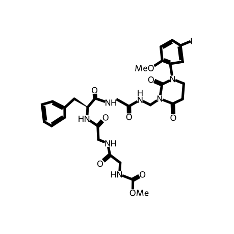 COC(=O)NCC(=O)NCC(=O)N[C@@H](Cc1ccccc1)C(=O)NCC(=O)NCN1C(=O)CCN(c2cc(I)ccc2OC)C1=O